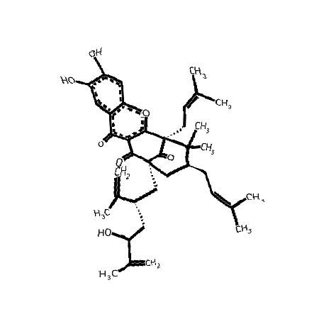 C=C(C)C(O)C[C@@H](C[C@@]12C[C@H](CC=C(C)C)C(C)(C)[C@@](CC=C(C)C)(C1=O)c1oc3cc(O)c(O)cc3c(=O)c1C2=O)C(=C)C